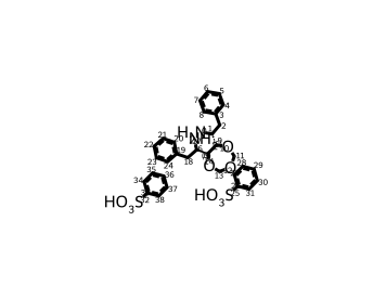 NC(Cc1ccccc1)[C@@H]1OCOCO[C@H]1C(N)Cc1ccccc1.O=S(=O)(O)c1ccccc1.O=S(=O)(O)c1ccccc1